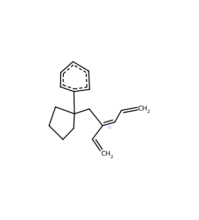 C=C/C=C(/C=C)CC1(c2ccccc2)CCCC1